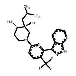 CC(C)C[C@]1(O)CN(c2ccc(C(F)(F)F)c(-c3n[nH]c4ncccc34)n2)CC[C@@H]1N